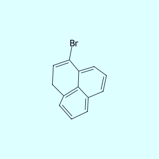 BrC1=CCc2cccc3cccc1c23